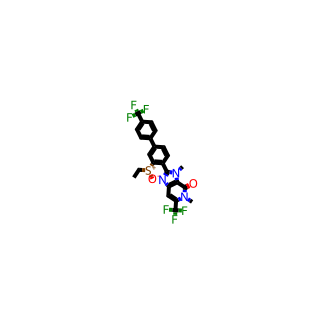 CC[S+]([O-])c1cc(-c2ccc(C(F)(F)F)cc2)ccc1-c1nc2cc(C(F)(F)F)n(C)c(=O)c2n1C